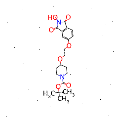 CC(C)(C)OC(=O)N1CCC(OCCOc2ccc3c(c2)C(=O)N(O)C3=O)CC1